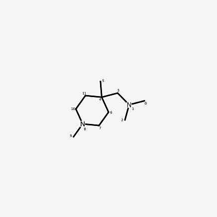 CN(C)CC1(C)CCN(C)CC1